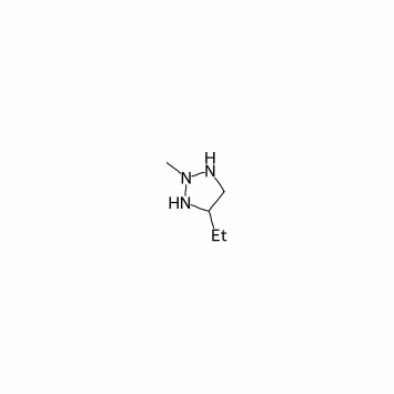 CCC1CNN(C)N1